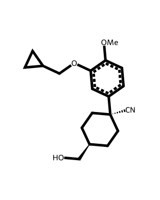 COc1ccc([C@]2(C#N)CC[C@H](CO)CC2)cc1OCC1CC1